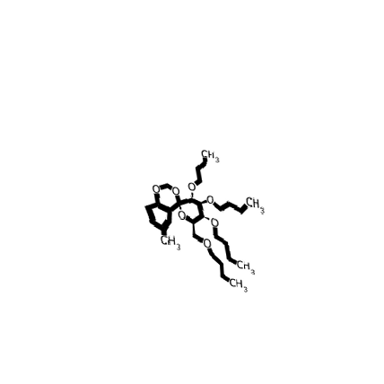 CCCCOC[C@H]1O[C@]2(OCOc3ccc(C)cc32)[C@H](OCCCC)[C@@H](OCCCC)[C@@H]1OCCCC